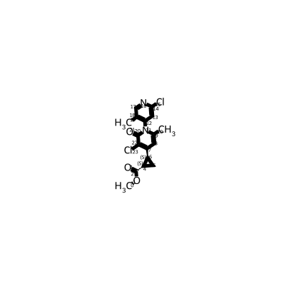 COC(=O)[C@H]1C[C@@H]1c1cc(C)n(-c2cc(Cl)ncc2C)c(=O)c1Cl